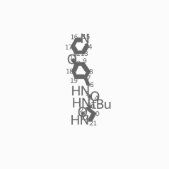 CC(C)(C)C1(NC(=O)NCc2ccc(Oc3ccncc3)cc2)C=CNO1